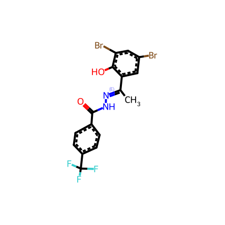 C/C(=N\NC(=O)c1ccc(C(F)(F)F)cc1)c1cc(Br)cc(Br)c1O